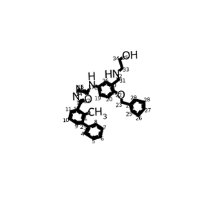 Cc1c(-c2ccccc2)cccc1-c1nnc(Nc2ccc(OCc3ccccc3)c(CNCCO)c2)o1